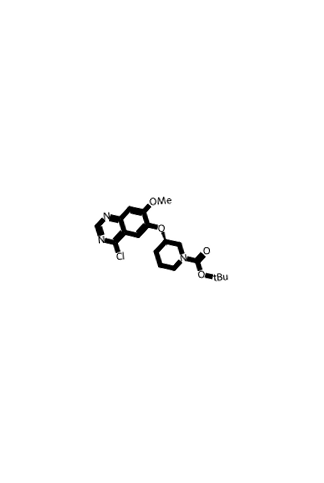 COc1cc2ncnc(Cl)c2cc1O[C@@H]1CCCN(C(=O)OC(C)(C)C)C1